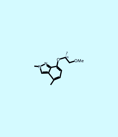 COC[C@@H](C)Oc1ccc(C)c2cn(C)nc12